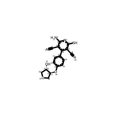 N#Cc1c(N)nc(S)c(C#N)c1-c1ccc(O[C@H]2COC[C@@H]2O)cc1